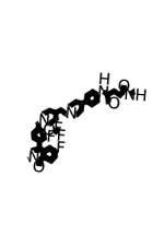 CNC(=O)CCC(C=O)Nc1ccc(C2CCN(CCC3CCN(Cc4ccc(-c5cn(C)c(=O)c6ccc(F)cc56)cc4OC(F)(F)F)CC3)CC2)cc1